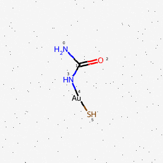 NC(=O)[NH][Au][SH]